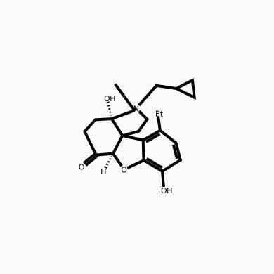 CCc1ccc(O)c2c1C13CCN(CC4CC4)C(C)[C@]1(O)CCC(=O)[C@@H]3O2